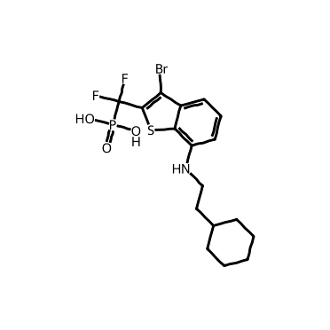 O=P(O)(O)C(F)(F)c1sc2c(NCCC3CCCCC3)cccc2c1Br